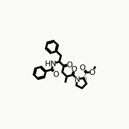 COC(=O)[C@@H]1CCCN1C(=O)C(C)CC(=O)C(Cc1ccccc1)NC(=O)c1ccccc1